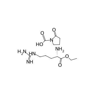 CCOC(=O)[C@@H](N)CCCNC(=N)N.O=C(O)N1CCCC1=O